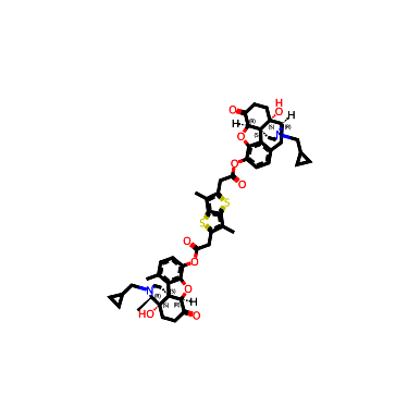 Cc1ccc(OC(=O)Cc2sc3c(C)c(CC(=O)Oc4ccc5c6c4O[C@H]4C(=O)CC[C@@]7(O)[C@@H](C5)N(CC5CC5)CC[C@]647)sc3c2C)c2c1[C@]13CCN(CC4CC4)[C@H](C)[C@]1(O)CCC(=O)[C@@H]3O2